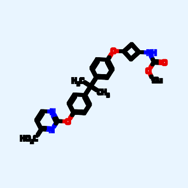 CC(C)(C)OC(=O)NC1CC(Oc2ccc(C(C)(C)c3ccc(Oc4nccc(C(=O)O)n4)cc3)cc2)C1